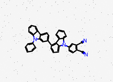 N#Cc1ccc(-n2c3ccccc3c3c(-c4ccc5c6ccccc6n(-c6ccccc6)c5c4)cccc32)cc1C#N